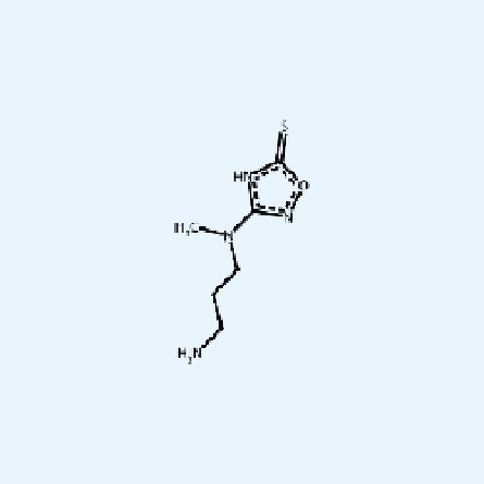 CN(CCCN)c1noc(=S)[nH]1